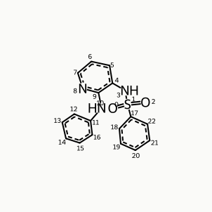 O=S(=O)(Nc1cccnc1Nc1ccccc1)c1ccccc1